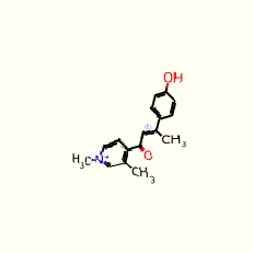 C/C(=C\C(=O)c1cc[n+](C)cc1C)c1ccc(O)cc1